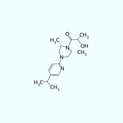 CC(O)C(=O)N1[C@H](C)CN(c2ccc(C(C)C)cn2)C[C@@H]1C